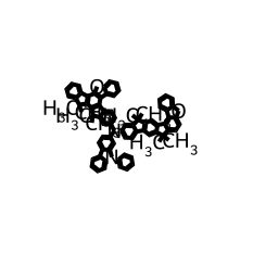 CC1(C)c2cc(N(c3ccc4c(c3)C(C)(C)c3c5c(c6oc7ccccc7c6c3-4)-c3ccccc3C5(C)C)c3ccc4c5ccccc5n(-c5ccccc5)c4c3)ccc2-c2cc3c(cc21)-c1c(ccc2oc4ccccc4c12)C3(C)C